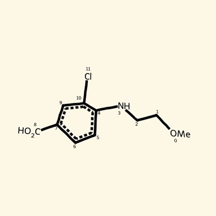 COCCNc1ccc(C(=O)O)cc1Cl